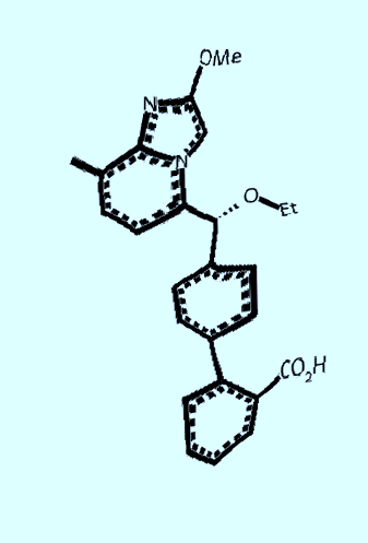 CCO[C@H](c1ccc(-c2ccccc2C(=O)O)cc1)c1ccc(C)c2nc(OC)cn12